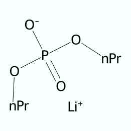 CCCOP(=O)([O-])OCCC.[Li+]